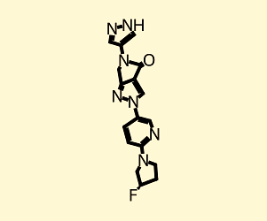 O=C1c2cn(-c3ccc(N4CC[C@@H](F)C4)nc3)nc2CN1c1cn[nH]c1